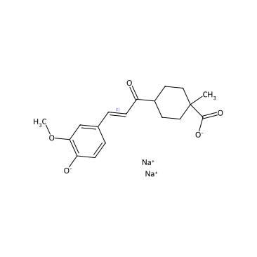 COc1cc(/C=C/C(=O)C2CCC(C)(C(=O)[O-])CC2)ccc1[O-].[Na+].[Na+]